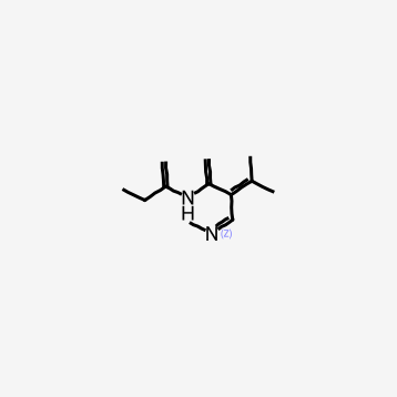 C=C(CC)NC(=C)C(/C=N\C)=C(C)C